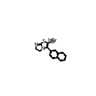 Br.BrC1=C(c2ccc3ccccc3c2)N2CCN=C2S1